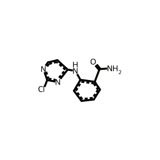 NC(=O)c1ccccc1Nc1ccnc(Cl)n1